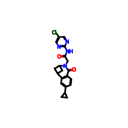 O=C(CN1C(=O)c2ccc(C3CC3)cc2C2CC1C2)Nc1ncc(Cl)cn1